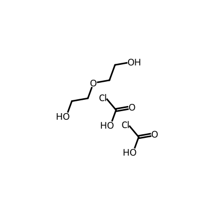 O=C(O)Cl.O=C(O)Cl.OCCOCCO